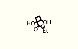 CCOC(=O)C1(O)CCC1O